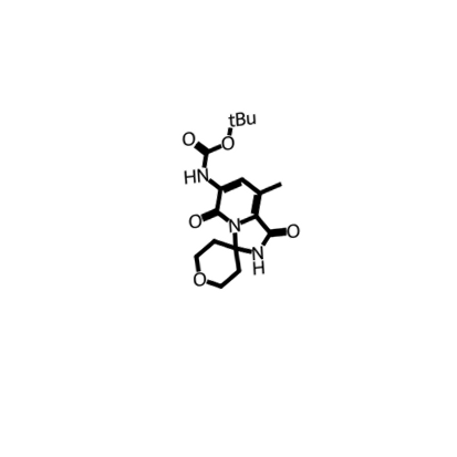 Cc1cc(NC(=O)OC(C)(C)C)c(=O)n2c1C(=O)NC21CCOCC1